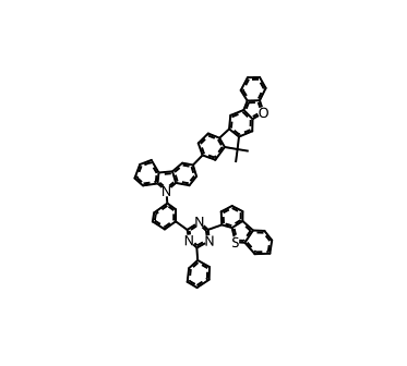 CC1(C)c2cc(-c3ccc4c(c3)c3ccccc3n4-c3cccc(-c4nc(-c5ccccc5)nc(-c5cccc6c5sc5ccccc56)n4)c3)ccc2-c2cc3c(cc21)oc1ccccc13